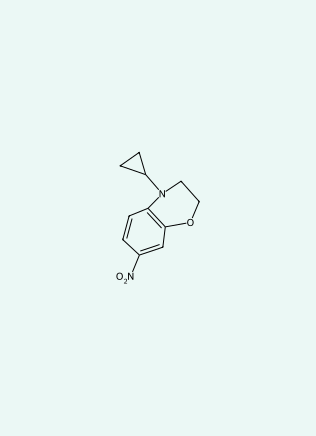 O=[N+]([O-])c1ccc2c(c1)OCCN2C1CC1